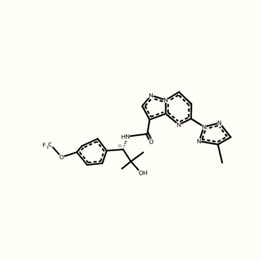 Cc1cnn(-c2ccn3ncc(C(=O)N[C@@H](c4ccc(OC(F)(F)F)cc4)C(C)(C)O)c3n2)n1